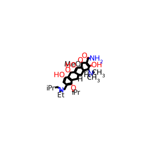 CCN(Cc1cc(O)c2c(c1OC(C)C)C[C@H]1C[C@H]3[C@H](N(C)C)C(O)=C(C(N)=O)C(=O)[C@@]3(OC)C(O)=C1C2=O)CC(C)C